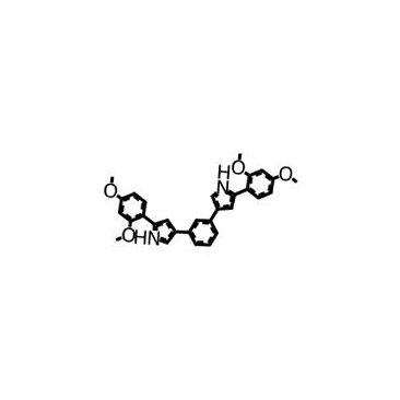 COc1ccc(-c2cc(-c3cccc(-c4c[nH]c(-c5ccc(OC)cc5OC)c4)c3)c[nH]2)c(OC)c1